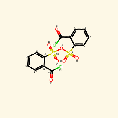 O=C(Cl)c1ccccc1S(=O)(=O)OS(=O)(=O)c1ccccc1C(=O)Cl